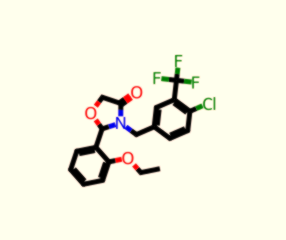 CCOc1ccccc1C1OCC(=O)N1Cc1ccc(Cl)c(C(F)(F)F)c1